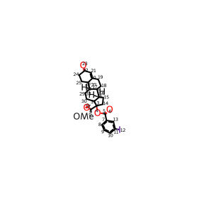 COC(=O)C1(OC(=O)c2cccc(I)c2)CC[C@H]2[C@@H]3CCC4=CC(=O)CC[C@]4(C)[C@@H]3CC[C@@]21C